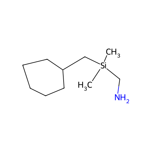 C[Si](C)(CN)CC1CCCCC1